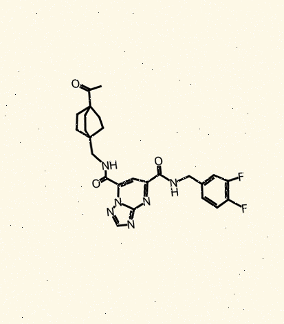 CC(=O)C12CCC(CNC(=O)c3cc(C(=O)NCc4ccc(F)c(F)c4)nc4ncnn34)(CC1)CC2